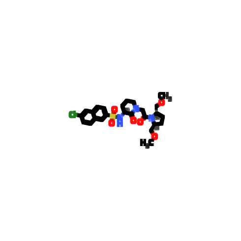 COC[C@@H]1CC[C@@H](COC)N1C(=O)CN1CCC[C@H](NS(=O)(=O)c2ccc3cc(Cl)ccc3c2)C1=O